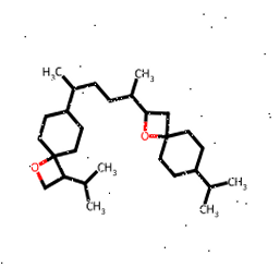 CC(C)C1CCC2(CC1)CC(C(C)CCC(C)C1CCC3(CC1)OCC3C(C)C)O2